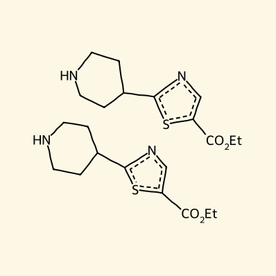 CCOC(=O)c1cnc(C2CCNCC2)s1.CCOC(=O)c1cnc(C2CCNCC2)s1